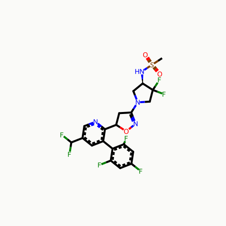 CS(=O)(=O)N[C@@H]1CN(C2=NOC(c3ncc(C(F)F)cc3-c3c(F)cc(F)cc3F)C2)CC1(F)F